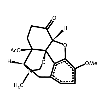 COc1ccc2c3c1O[C@H]1C(=O)CC[C@@]4(OC(C)=O)[C@@H](C2)N(C)CC[C@]314